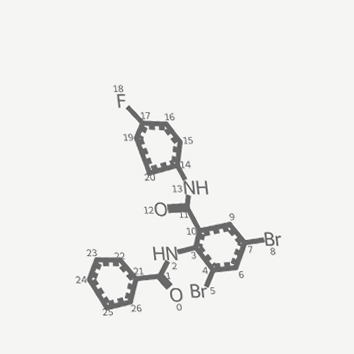 O=C(Nc1c(Br)cc(Br)cc1C(=O)Nc1ccc(F)cc1)c1ccccc1